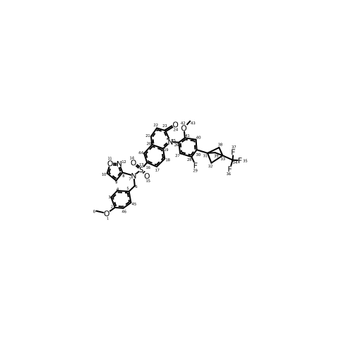 COc1ccc(CN(c2ccon2)S(=O)(=O)c2ccc3c(ccc(=O)n3-c3cc(F)c(C45CC(C(F)(F)F)(C4)C5)cc3OC)c2)cc1